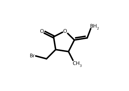 B/C=C1\OC(=O)C(CBr)C1C